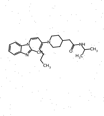 CCC/C=C(/C=C\n1c(C)nc2ccccc21)N1CCC(CC(=O)NC(C)C)CC1